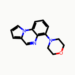 c1cc(N2CCOCC2)c2ncc3cccn3c2c1